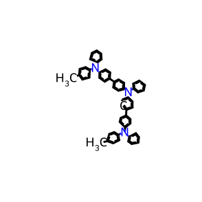 Cc1ccc(N(c2ccccc2)c2ccc(-c3ccc(N(c4ccccc4)c4ccc(-c5ccc(N(c6ccccc6)c6ccc(C)cc6)cc5)cc4)cc3)cc2)cc1